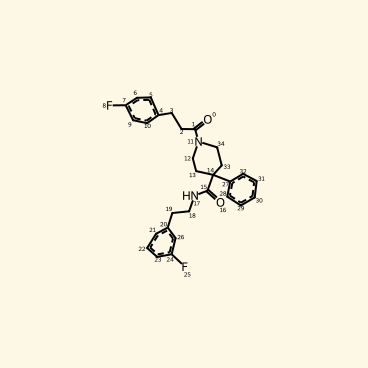 O=C(CCc1ccc(F)cc1)N1CCC(C(=O)NCCc2cccc(F)c2)(c2ccccc2)CC1